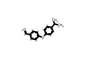 CC(C)c1ccc(Oc2ccc(C=O)cc2)cc1